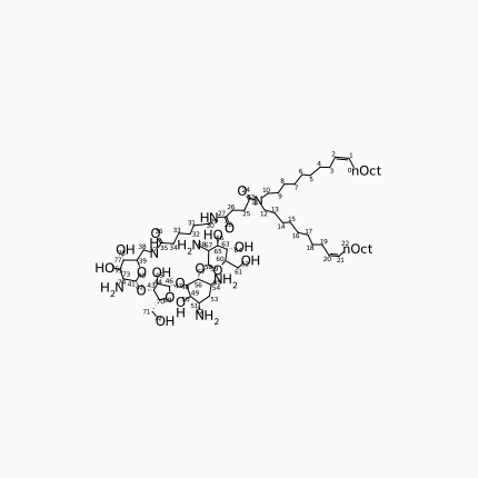 CCCCCCCC/C=C\CCCCCCCCN(CCCCCCCC/C=C\CCCCCCCC)C(=O)CCC(=O)NCCCCCC(=O)NCC1O[C@H](O[C@@H]2C(O)[C@H](O[C@@H]3C(O)[C@H](N)CC(N)[C@H]3O[C@H]3OC(CO)[C@@H](O)[C@H](O)C3N)O[C@@H]2CO)[C@H](N)C(O)[C@@H]1O